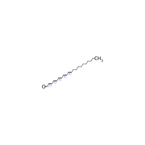 CCCCCCCCCC/C=C/C=C/C=C/C=C/C=C/[C]=O